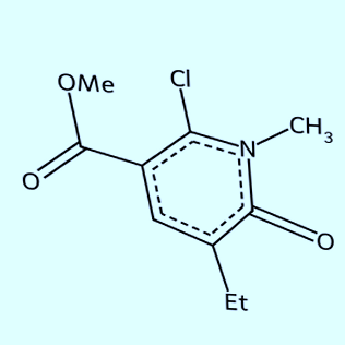 CCc1cc(C(=O)OC)c(Cl)n(C)c1=O